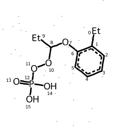 CCc1ccccc1OC(CC)OOP(=O)(O)O